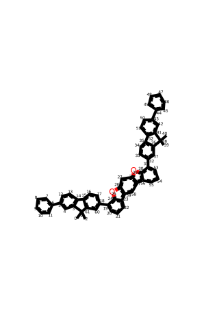 CC1(C)c2cc(-c3ccccc3)ccc2-c2ccc(-c3cccc4c3oc3cc5oc6c(-c7ccc8c(c7)C(C)(C)c7cc(-c9ccccc9)ccc7-8)cccc6c5cc34)cc21